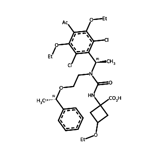 CCOc1c(Cl)c([C@@H](C)N(CCO[C@@H](C)c2ccccc2)C(=O)NC2(C(=O)O)CC(OCC)C2)c(Cl)c(OCC)c1C(C)=O